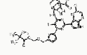 CC(C)(C)C(=O)OCOCc1ccc(-c2nc(-c3c[nH]c4ncc(Cl)nc34)nc(N[C@H]3C4CCC(CC4)[C@@H]3C(=O)O)c2F)s1